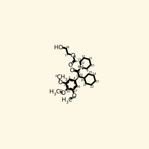 COc1cc([C@@H](C(=O)N2CCCC[C@H]2C(=O)OCCO)C2CCCCC2)cc(OC)c1OC